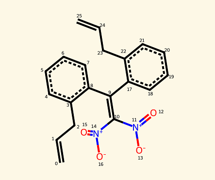 C=CCc1ccccc1C(=C([N+](=O)[O-])[N+](=O)[O-])c1ccccc1CC=C